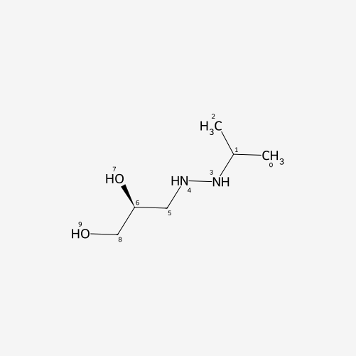 CC(C)NNC[C@H](O)CO